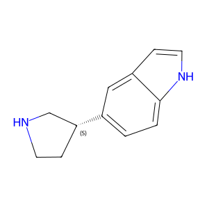 c1cc2cc([C@@H]3CCNC3)ccc2[nH]1